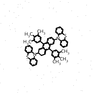 Cc1cc(-c2c3c(c(-c4cc(C)c(C)c(C)c4)c4cc(N5c6ccccc6Sc6ccccc65)ccc24)=CCC(N2c4ccccc4Sc4ccccc42)C=3)cc(C)c1C